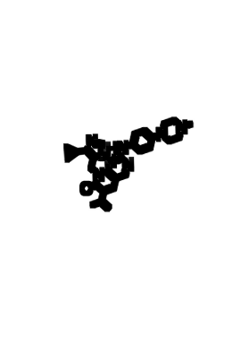 C=C(C)c1cc2cnc(Nc3ccc(N4CCN(C)CC4)cc3)nc2n(Cc2scnc2C2CC2)c1=O